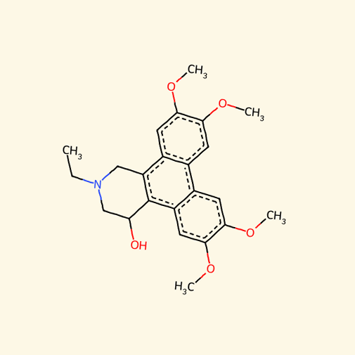 CCN1Cc2c(c3cc(OC)c(OC)cc3c3cc(OC)c(OC)cc23)C(O)C1